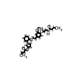 CCCC(=O)NCCOc1ccc(CCOC2CCCCC2N2CC[C@@H](OC(=O)CCC)C2)cc1OC